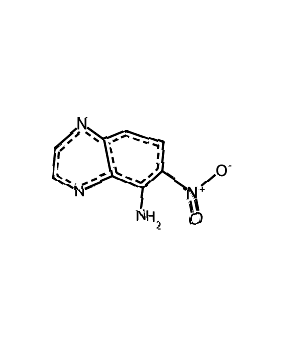 Nc1c([N+](=O)[O-])ccc2nccnc12